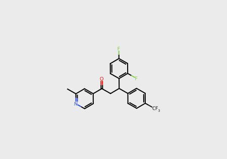 Cc1cc(C(=O)CC(c2ccc(C(F)(F)F)cc2)c2ccc(F)cc2F)ccn1